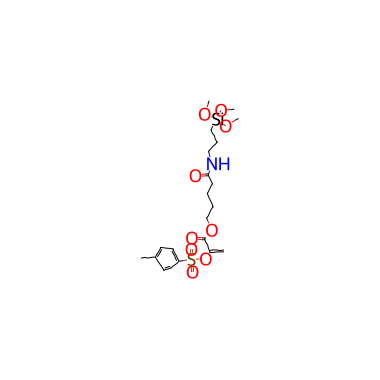 C=C(OS(=O)(=O)c1ccc(C)cc1)C(=O)OCCCCC(=O)NCCC[Si](OC)(OC)OC